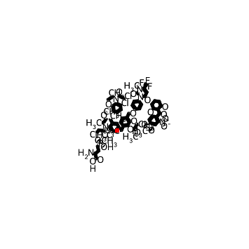 CC1COc2ccccc2N1C(=O)C(Cl)Cl.CCc1ccc(COc2ccc(-n3c(=O)cc(C(F)(F)F)n(C)c3=O)cc2)c(OC(C)C(=O)OC)c1.CCc1cccc(C)c1N(C(=O)CCl)C(C)COC.CP(=O)(O)CCC(N)C(=O)O.CS(=O)(=O)c1ccc(C(=O)C2C(=O)CCCC2=O)c([N+](=O)[O-])c1